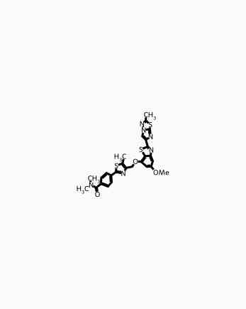 COc1cc(OCc2nc(-c3ccc(C(=O)N(C)C)cc3)sc2C)c2sc(-c3cn4nc(C)sc4n3)nc2c1